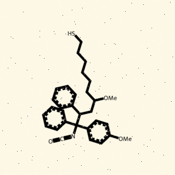 COc1ccc(C(N=C=O)(c2ccccc2)C(CC(CCCCCCS)OC)c2ccccc2)cc1